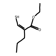 CCCC(=CS)C(=O)OCC